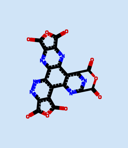 O=C1OC(=O)c2nc1nc1c2c2nc3c(=O)oc(=O)c3nc2c2nnc3c(=O)oc(=O)c3c21